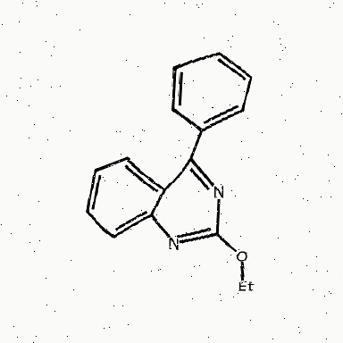 CCOc1nc(-c2ccccc2)c2ccccc2n1